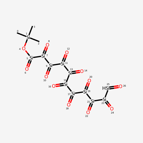 C[Si](C)(C)O[Si](=O)[Si](=O)[Si](=O)[Si](=O)[Si](=O)[Si](=O)[Si](=O)[Si](=O)[Si](=O)[Si](=O)[SiH]=O